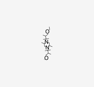 CCOCC(C)C(C)(C)N1CC(C)N(C(C)(C)C(C)COC)CC1C